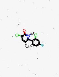 CCn1c(-c2ccc(F)cc2Cl)c(C=O)cc(Cl)c1=O